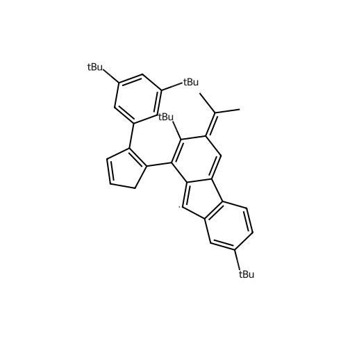 CC(C)=c1cc2c(c(C3=C(c4cc(C(C)(C)C)cc(C(C)(C)C)c4)C=CC3)c1C(C)(C)C)=[C]c1cc(C(C)(C)C)ccc1-2